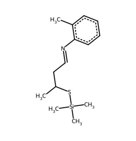 Cc1ccccc1N=CCC(C)S[Si](C)(C)C